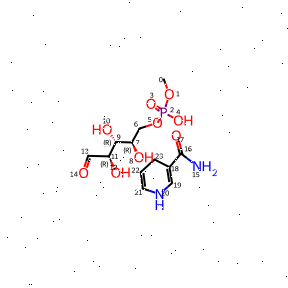 COP(=O)(O)OC[C@@H](O)[C@@H](O)[C@@H](O)C=O.NC(=O)C1=CNC=CC1